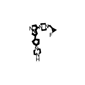 F[C@H]1CC1CN1CCN(c2ccnn3cc(-c4ccc(N5CCNCC5)cc4)cc23)CC1